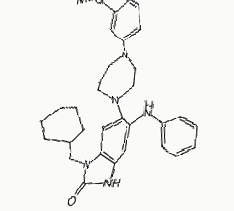 COc1cccc(N2CCN(c3cc4c(cc3Nc3ccccc3)[nH]c(=O)n4CC3CCCCC3)CC2)c1